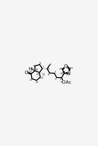 CC(=O)OC(CCCC(C)[C@H]1CC[C@H]2C(=O)CCC[C@]12C)c1cocn1